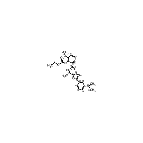 CCOC(=O)Oc1c(OC)ccnc1C(=O)N[C@@H](C)c1nnc(-c2cccc(C(C)C)c2)o1